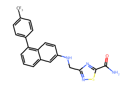 NC(=O)c1nc(CNc2ccc3c(-c4ccc(C(F)(F)F)cc4)cccc3c2)ns1